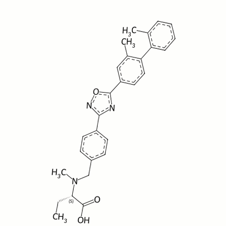 CC[C@@H](C(=O)O)N(C)Cc1ccc(-c2noc(-c3ccc(-c4ccccc4C)c(C)c3)n2)cc1